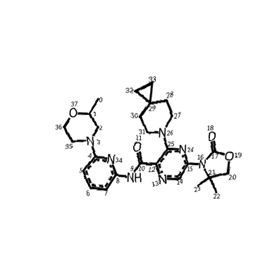 CC1CN(c2cccc(NC(=O)c3ncc(N4C(=O)OCC4(C)C)nc3N3CCC4(CC3)CC4)n2)CCO1